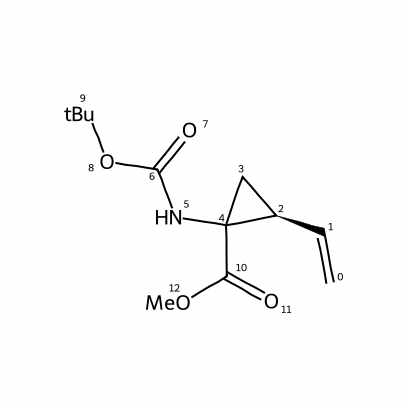 C=C[C@@H]1CC1(NC(=O)OC(C)(C)C)C(=O)OC